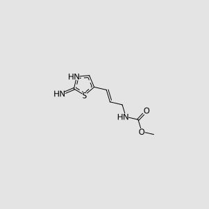 COC(=O)NCC=Cc1c[nH]c(=N)s1